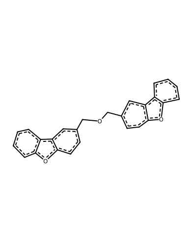 c1ccc2c(c1)oc1ccc(COCc3ccc4oc5ccccc5c4c3)cc12